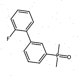 CP(C)(=O)c1cccc(-c2ccccc2F)c1